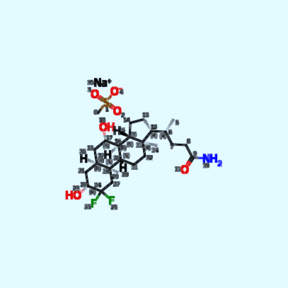 CS(=O)(=O)[O-].C[C@H](CCC(N)=O)[C@H]1CC[C@H]2[C@@H]3[C@@H](O)C[C@@H]4C[C@@H](O)C(F)(F)C[C@]4(C)[C@H]3CC[C@]12C.[Na+]